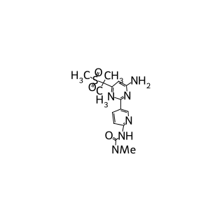 CNC(=O)Nc1ccc(-c2nc(N)cc(C(C)(C)S(C)(=O)=O)n2)cn1